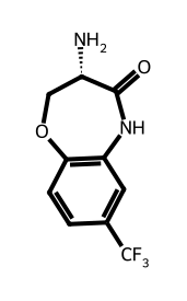 N[C@H]1COc2ccc(C(F)(F)F)cc2NC1=O